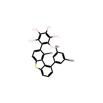 Bc1c(B)c(B)c(-c2ccc3sc4cccc(-c5cc(C(C)(C)C)cc(C(C)(C)C)c5)c4c3c2C(C)C)c(B)c1B